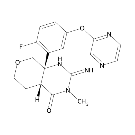 CN1C(=N)N[C@@]2(c3cc(Oc4cnccn4)ccc3F)COCC[C@H]2C1=O